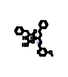 COc1ccnc(/C=C/C(CCc2ccccc2)NC(=O)C(Cc2ccccc2)NC(=O)O)c1